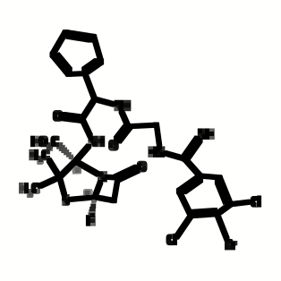 CC1(C)S[C@@H]2CC(=O)N2[C@@]1(NC(=O)C(NC(=O)CNC(=N)c1cc(Cl)c(Br)c(Cl)c1)c1ccccc1)C(=O)O